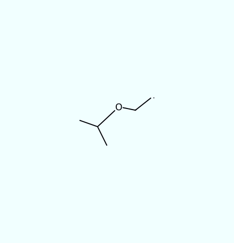 [CH2]COC(C)C